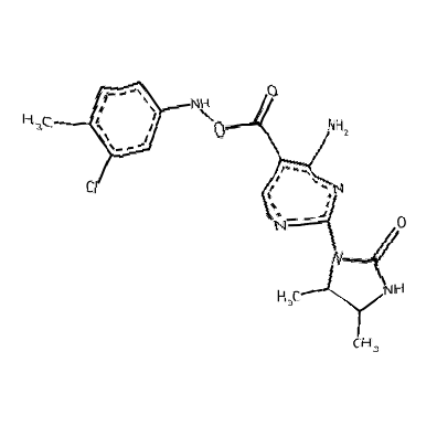 Cc1ccc(NOC(=O)c2cnc(N3C(=O)NC(C)C3C)nc2N)cc1Cl